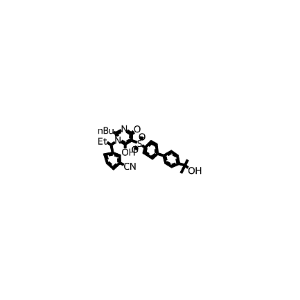 CCCCc1nc(=O)c(S(=O)(=O)c2ccc(-c3ccc(C(C)(C)O)cc3)cc2)c(O)n1C(CC)c1cccc(C#N)c1